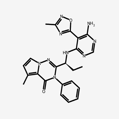 CC[C@H](Nc1ncnc(N)c1-c1nc(C)no1)c1nn2ccc(C)c2c(=O)n1-c1ccccc1